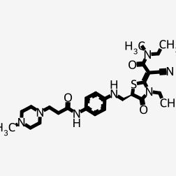 CCN(C)C(=O)/C(C#N)=C1\S[C@H](CNc2ccc(NC(=O)CCN3CCN(C)CC3)cc2)C(=O)N1CC